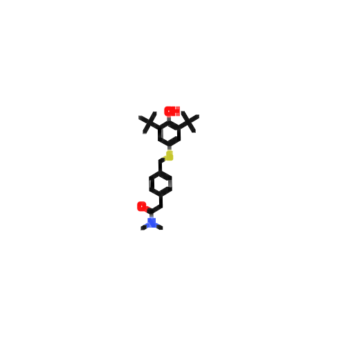 CN(C)C(=O)Cc1ccc(CSc2cc(C(C)(C)C)c(O)c(C(C)(C)C)c2)cc1